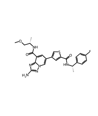 COC[C@H](C)NC(=O)c1cc(-c2csc(C(=O)N[C@@H](C)c3ccc(F)cc3)c2)cn2nc(N)nc12